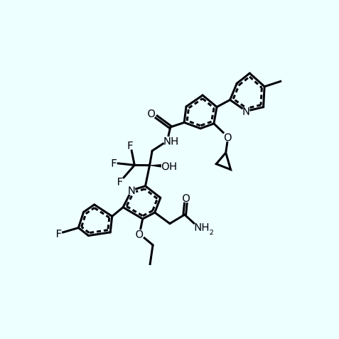 CCOc1c(CC(N)=O)cc([C@@](O)(CNC(=O)c2ccc(-c3ccc(C)cn3)c(OC3CC3)c2)C(F)(F)F)nc1-c1ccc(F)cc1